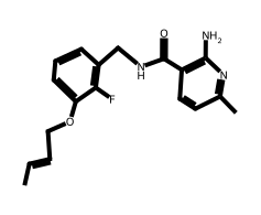 CC=CCOc1cccc(CNC(=O)c2ccc(C)nc2N)c1F